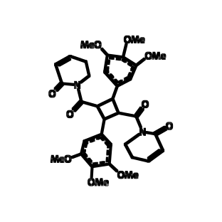 COc1cc(C2C(C(=O)N3CCC=CC3=O)C(c3cc(OC)c(OC)c(OC)c3)C2C(=O)N2CCC=CC2=O)cc(OC)c1OC